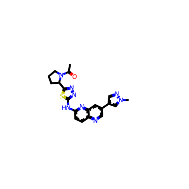 CC(=O)N1CCCC1c1nnc(Nc2ccc3ncc(-c4cnn(C)c4)cc3n2)s1